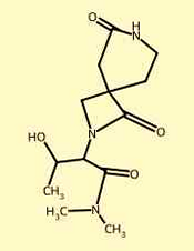 CC(O)C(C(=O)N(C)C)N1CC2(CCNC(=O)C2)C1=O